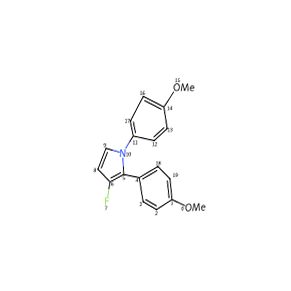 COc1ccc(-c2c(F)ccn2-c2ccc(OC)cc2)cc1